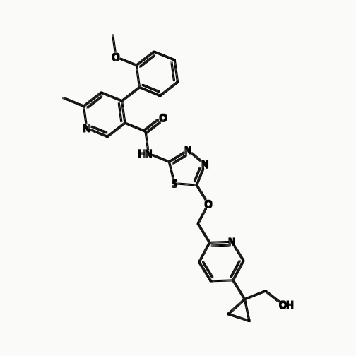 COc1ccccc1-c1cc(C)ncc1C(=O)Nc1nnc(OCc2ccc(C3(CO)CC3)cn2)s1